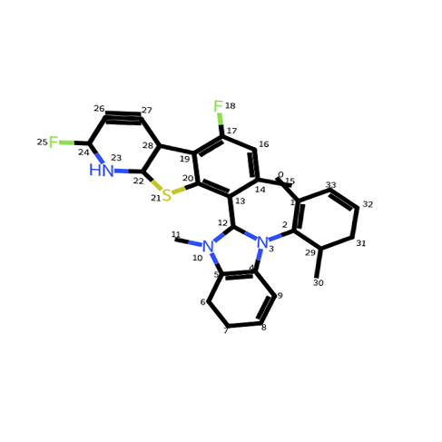 CC1=C(N2C3=C(CCC=C3)N(C)C2c2c(C)cc(F)c3c2SC2NC(F)C#CC32)C(C)CC=C1